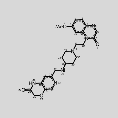 COc1ccc2ncc(=O)n(CCN3CCC(NCc4cc5c(cn4)OCC(=O)N5)CC3)c2c1